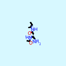 C/C=C(\C)NC(=O)C[C@H](CN)NC(C)=O